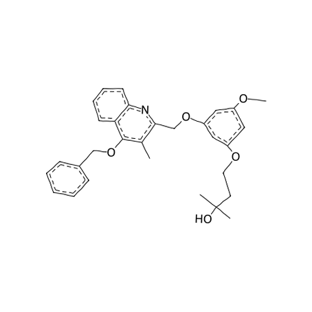 COc1cc(OCCC(C)(C)O)cc(OCc2nc3ccccc3c(OCc3ccccc3)c2C)c1